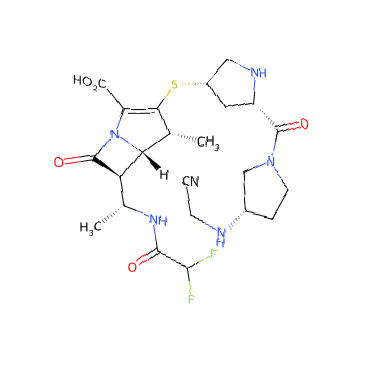 C[C@@H](NC(=O)C(F)F)[C@H]1C(=O)N2C(C(=O)O)=C(S[C@@H]3CN[C@H](C(=O)N4CC[C@H](NCC#N)C4)C3)[C@H](C)[C@H]12